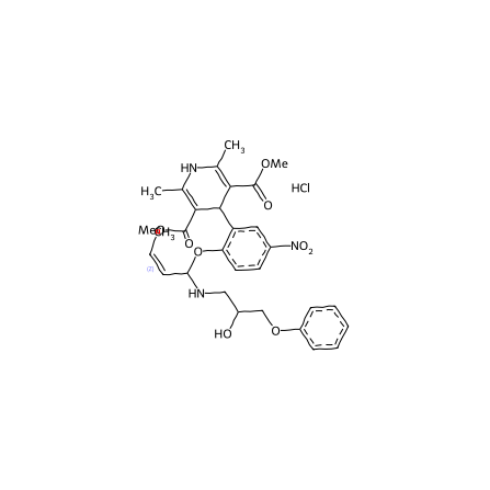 C/C=C\C(NCC(O)COc1ccccc1)Oc1ccc([N+](=O)[O-])cc1C1C(C(=O)OC)=C(C)NC(C)=C1C(=O)OC.Cl